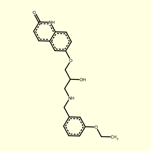 CCOc1cccc(CNCC(O)COc2ccc3[nH]c(=O)ccc3c2)c1